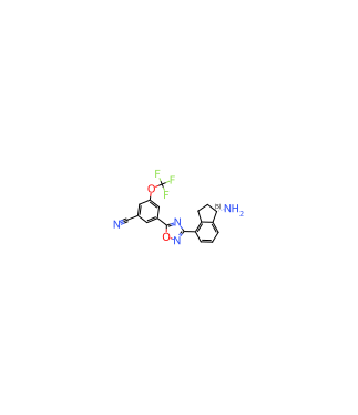 N#Cc1cc(OC(F)(F)F)cc(-c2nc(-c3cccc4c3CC[C@@H]4N)no2)c1